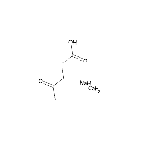 CC(=O)CCC(=O)O.[CaH2].[NaH]